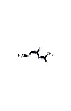 C=N/C=C(Cl)\N=C(/C)Cl